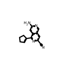 N#Cc1cc2cnc(N)cc2c(C2=CCCC2)n1